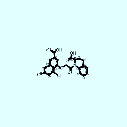 O=C(O)c1cc(OCC(=O)N2c3ccccc3CCC2C(=O)O)c2c(Cl)cc(Cl)cc2c1